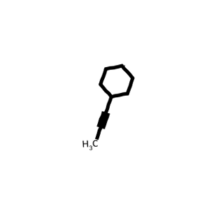 CC#CC1CC[CH]CC1